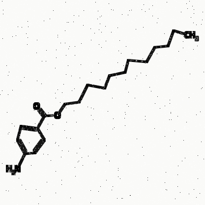 CCCCCCCCCCCCOC(=O)c1ccc(N)cc1